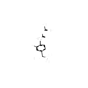 C=C(C)OC(=O)Nc1ccc([C@H](C)N(C)C)cc1F